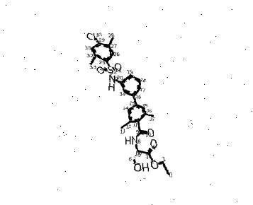 CCOC(=O)[C@H](CO)NC(=O)c1c(C)cc(-c2cccc(NS(=O)(=O)c3cc(C)c(Cl)cc3C)c2)cc1C